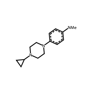 CNc1ccc(N2CCN(C3CC3)CC2)cc1